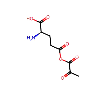 CC(=O)C(=O)OC(=O)CC[C@@H](N)C(=O)O